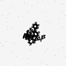 CCOC(=O)N1CCCC(NS(C)(=O)=O)C1Cc1cccc(-c2ccccc2)c1F